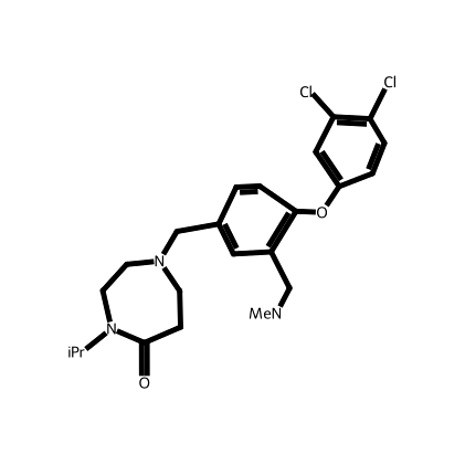 CNCc1cc(CN2CCC(=O)N(C(C)C)CC2)ccc1Oc1ccc(Cl)c(Cl)c1